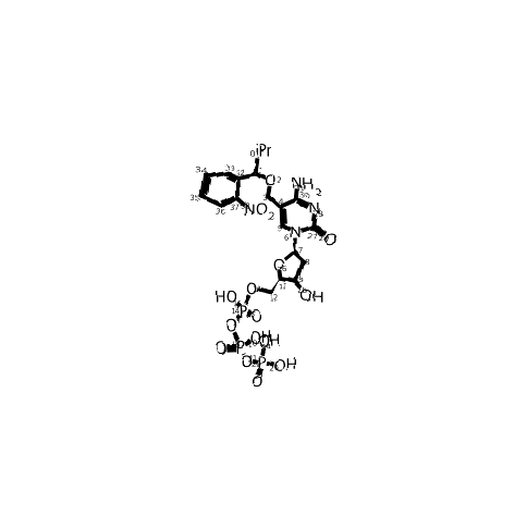 CC(C)C(OCc1cn([C@H]2CC(O)[C@@H](COP(=O)(O)OP(=O)(O)OP(=O)(O)O)O2)c(=O)nc1N)c1ccccc1[N+](=O)[O-]